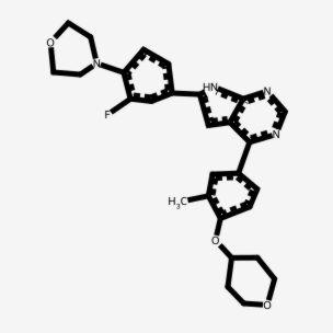 Cc1cc(-c2ncnc3[nH]c(-c4ccc(N5CCOCC5)c(F)c4)cc23)ccc1OC1CCOCC1